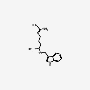 NC(N)=NCCC[C@@H](NCc1c[nH]c2ccccc12)C(=O)O